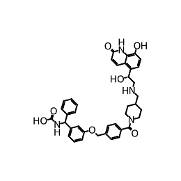 O=C(O)NC(c1ccccc1)c1cccc(OCc2ccc(C(=O)N3CCC(CNC[C@@H](O)c4ccc(O)c5[nH]c(=O)ccc45)CC3)cc2)c1